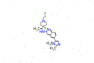 C=C(Nc1cc2cc(-c3cnc(C)n3C)ccc2cn1)C1(F)CCN(CCF)CC1